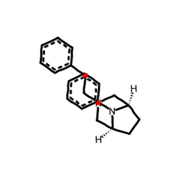 c1ccc(CCN2C[C@H]3CC[C@@H](C2)N3c2ccccc2)cc1